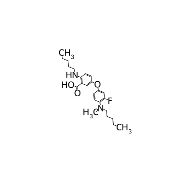 CCCCCNc1ccc(Oc2ccc(N(C)CCCCC)c(F)c2)cc1C(=O)O